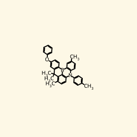 Cc1ccc(N2c3ccc(C)cc3B3c4ccc(Oc5ccccc5)cc4C(C)(C)c4c(C)ccc2c43)cc1